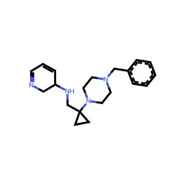 C1=CC(NCC2(N3CCN(Cc4ccccc4)CC3)CC2)CN=C1